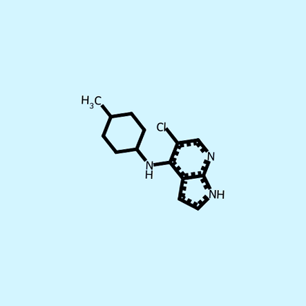 CC1CCC(Nc2c(Cl)cnc3[nH]ccc23)CC1